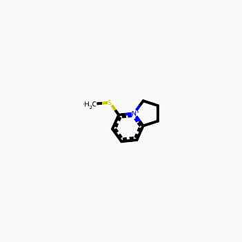 [CH2]Sc1cccc2[n+]1CCC2